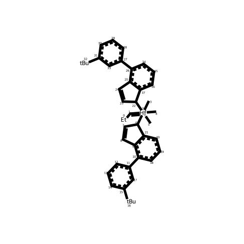 CC[CH]=[Hf]([CH3])([CH3])([CH3])([CH]1C=Cc2c(-c3cccc(C(C)(C)C)c3)cccc21)[CH]1C=Cc2c(-c3cccc(C(C)(C)C)c3)cccc21